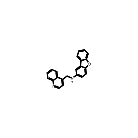 c1ccc2c(CNc3ccc4oc5ccccc5c4c3)ccnc2c1